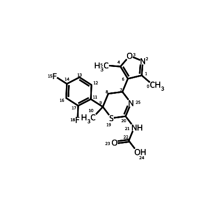 Cc1noc(C)c1C1CC(C)(c2ccc(F)cc2F)SC(NC(=O)O)=N1